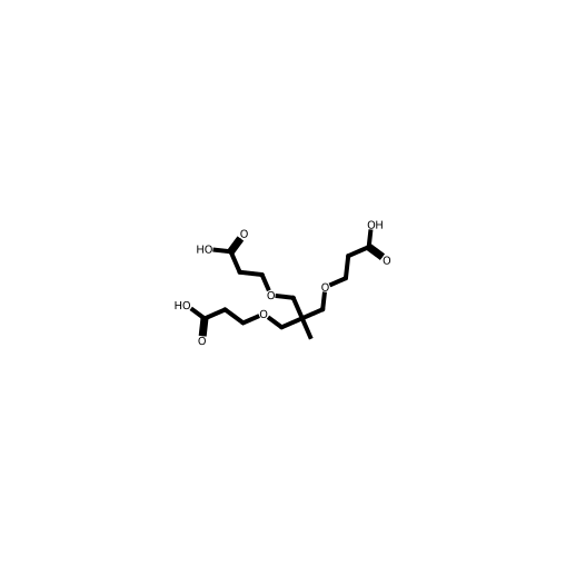 CC(COCCC(=O)O)(COCCC(=O)O)COCCC(=O)O